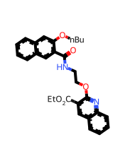 CCCCOc1cc2ccccc2cc1C(=O)NCCOc1nc2ccccc2cc1C(=O)OCC